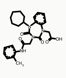 Cc1ccccc1NC(=O)CN1C(=O)N(CC(=O)O)c2ccccc2N(C2CCCCCC2)C1=O